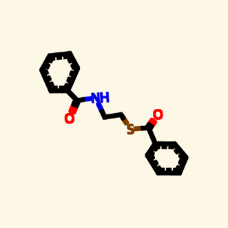 O=C(NCCSC(=O)c1ccccc1)c1ccccc1